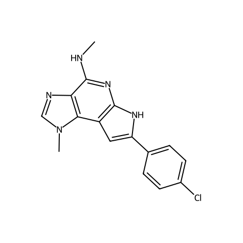 CNc1nc2[nH]c(-c3ccc(Cl)cc3)cc2c2c1ncn2C